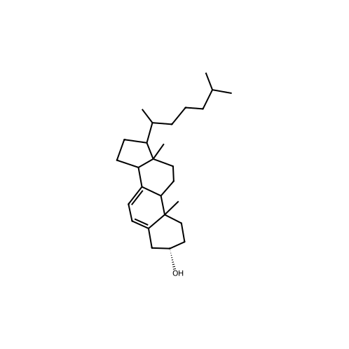 CC(C)CCCC(C)C1CCC2C3=CC=C4C[C@@H](O)CCC4(C)C3CCC21C